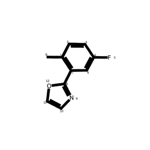 Cc1ccc(F)cc1-c1ncco1